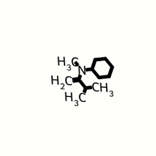 C=C(C(C)C)N(C)C1CCCCC1